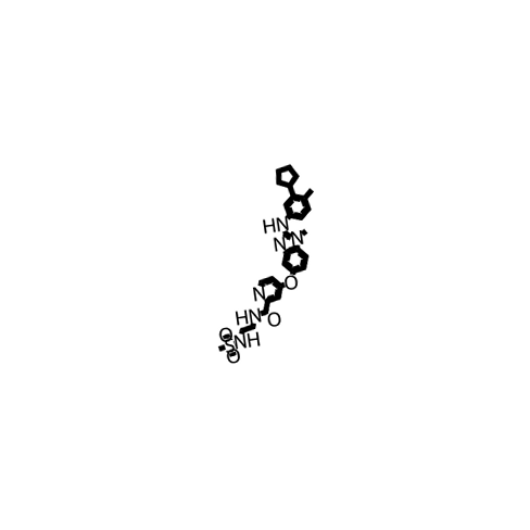 Cc1ccc(Nc2nc3cc(Oc4ccnc(C(=O)NCCNS(C)(=O)=O)c4)ccc3n2C)cc1C1CCCC1